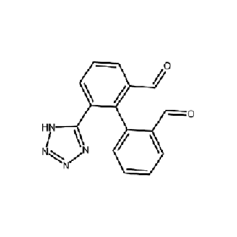 O=Cc1ccccc1-c1c(C=O)cccc1-c1nnn[nH]1